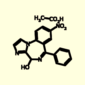 CC(=O)O.O=[N+]([O-])c1ccc2c(c1)C(c1ccccc1)=NC(O)c1nccn1-2